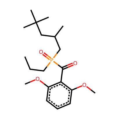 CCCP(=O)(CC(C)CC(C)(C)C)C(=O)c1c(OC)cccc1OC